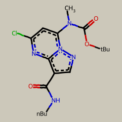 CCCCNC(=O)c1cnn2c(N(C)C(=O)OC(C)(C)C)cc(Cl)nc12